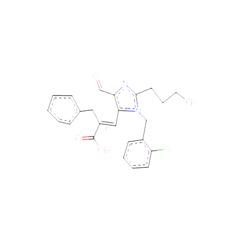 CCCCc1nc(C=O)c(/C=C(\Cc2ccccc2)C(=O)O)n1Cc1ccccc1Cl